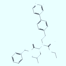 CCOC(=O)N(CCc1ccc(-c2ccncc2)cc1)[C@@H](CC(C)C)C(=O)OCc1ccccc1